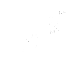 NC(=O)OS(=O)(=O)NCCNC(=O)n1sc2ccccc2c1=O